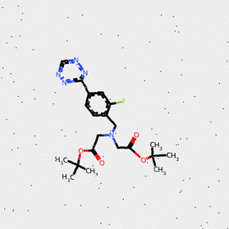 CC(C)(C)OC(=O)CN(CC(=O)OC(C)(C)C)Cc1ccc(-c2nncnn2)cc1F